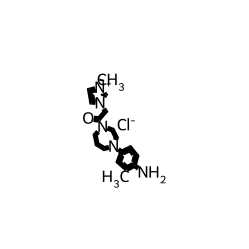 Cc1cc(N2CCCN(C(=O)Cn3cc[n+](C)c3)CC2)ccc1N.[Cl-]